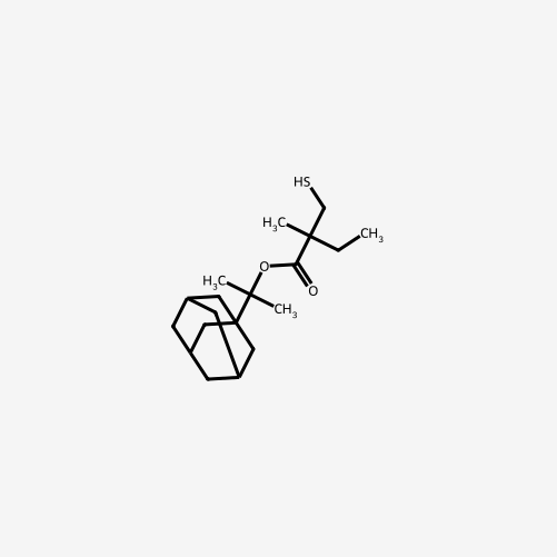 CCC(C)(CS)C(=O)OC(C)(C)C12CC3CC(CC(C3)C1)C2